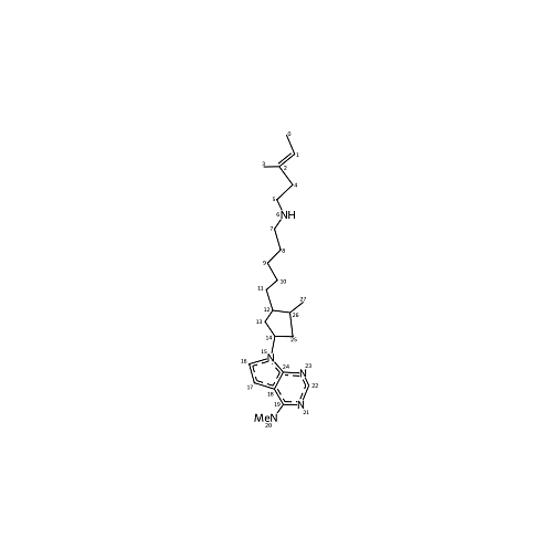 C/C=C(\C)CCNCCCCCC1CC(n2ccc3c(NC)ncnc32)CC1C